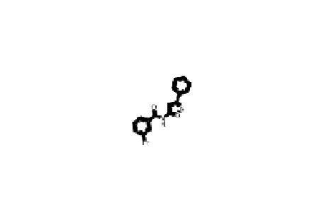 CCc1cccc(C(=O)Nc2cc(-c3ccccc3)no2)c1